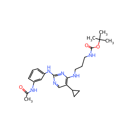 CC(=O)Nc1cccc(Nc2ncc(C3CC3)c(NCCCNC(=O)OC(C)(C)C)n2)c1